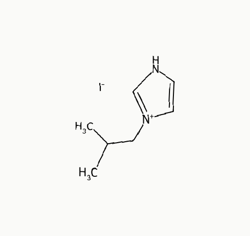 CC(C)C[n+]1cc[nH]c1.[I-]